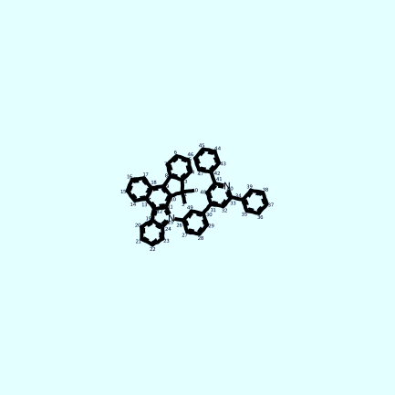 CC1(C)c2ccccc2-c2c1c1c(c3ccccc23)c2ccccc2n1-c1cccc(-c2cc(-c3ccccc3)nc(-c3ccccc3)c2)c1